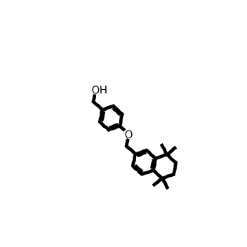 CC1(C)CCC(C)(C)c2cc(COc3ccc(CO)cc3)ccc21